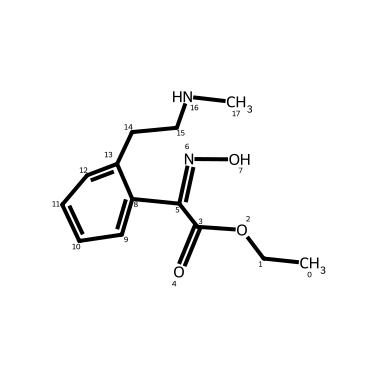 CCOC(=O)C(=NO)c1ccccc1CCNC